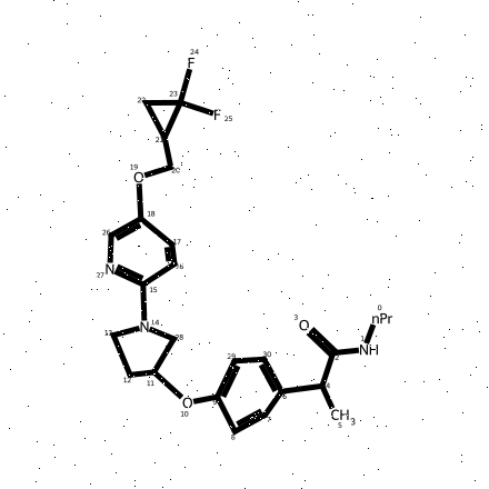 CCCNC(=O)C(C)c1ccc(OC2CCN(c3ccc(OCC4CC4(F)F)cn3)C2)cc1